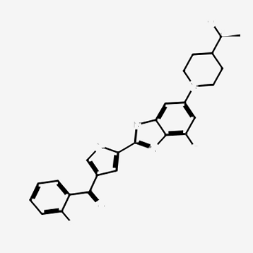 C[C@H](O)C1CCN(c2cc(F)c3nc(-c4cc(C(=O)c5ccccc5C(F)(F)F)c[nH]4)[nH]c3c2)CC1